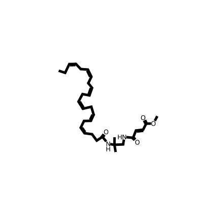 CC/C=C\C/C=C\C/C=C\C/C=C\C/C=C\C/C=C\CCC(=O)NC(C)(C)CNC(=O)/C=C/C(=O)OC